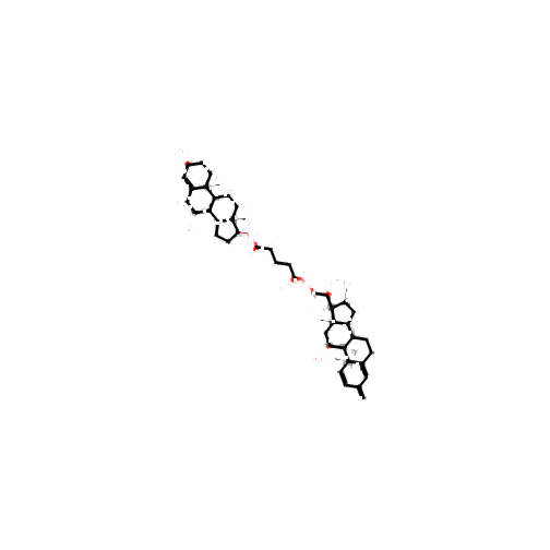 C=C1C=C[C@@]2(C)C(=C1)CCC1C3C[C@H](C)[C@](O)(C(=O)COC(=O)CCCC(=O)O[C@H]4CCC5C6C(CC[C@@]54C)[C@@]4(C)CCC(=O)C=C4C[C@H]6C)[C@@]3(C)C[C@H](O)[C@@]12F